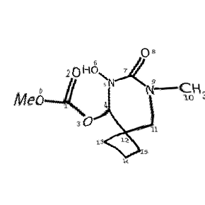 COC(=O)OC1N(O)C(=O)N(C)CC12CCC2